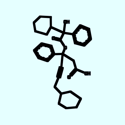 O=C(O)CC(C#CCC1CCCCC1)(OC(=O)C(O)(c1ccccc1)C1CCCCC1)c1ccccc1